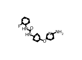 Nc1ccc(Oc2ccc(NC(=O)Nc3ccccc3F)cc2)cn1